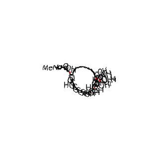 CNc1ccc(C(=O)CC(O)CC[C@H](C)[C@H]2OC(=O)C[C@H](O)CC(=O)CC(O)C[C@H](O)CC(O)C[C@H](O)C[C@]3(O)C[C@H](O)[C@@H](C(=O)O)[C@H](C[C@@H](O[C@@H]4O[C@H](C)[C@@H](O)[C@H](N)[C@@H]4O)/C=C/C=C/C=C/C=C\C=C/C=C/C=C/[C@@H]2C)O3)cc1